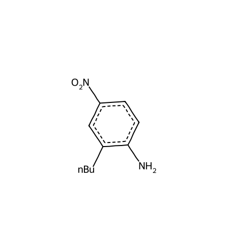 CCCCc1cc([N+](=O)[O-])ccc1N